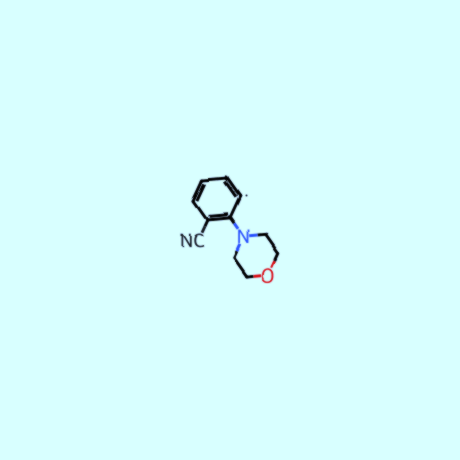 N#Cc1ccc[c]c1N1CCOCC1